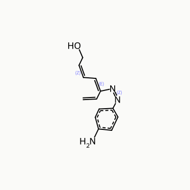 C=CC(=C\C=C/CO)/N=N\c1ccc(N)cc1